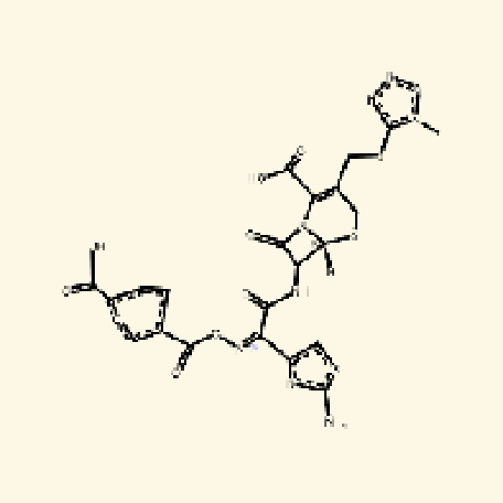 Cn1nnnc1SCC1=C(C(=O)O)N2C(=O)C(NC(=O)/C(=N\OC(=O)c3ccc(C(=O)O)cc3)c3csc(N)n3)[C@H]2SC1